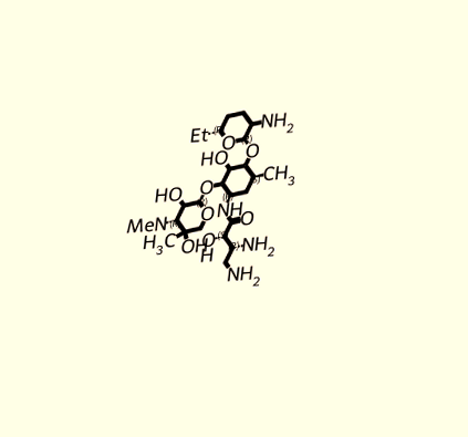 CC[C@@H]1CCC(N)[C@@H](OC2C(O)C(O[C@H]3OCC(C)(O)[C@H](NC)C3O)[C@H](NC(=O)[C@@H](O)[C@H](N)CN)C[C@@H]2C)O1